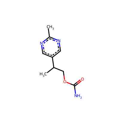 Cc1ncc(C(C)COC(N)=O)cn1